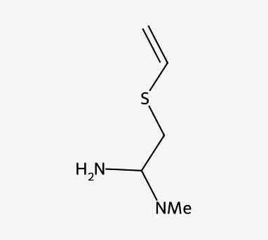 C=CSCC(N)NC